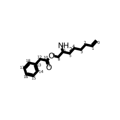 C=CCCCCC(N)COC(=O)Cc1ccccc1